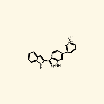 [O-][n+]1cccc(-c2ccc3c(-c4cc5ccccc5[nH]4)n[nH]c3c2)c1